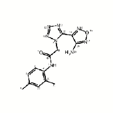 Cc1ccc(NC(=O)Cn2nnnc2-c2nonc2N)c(C)c1